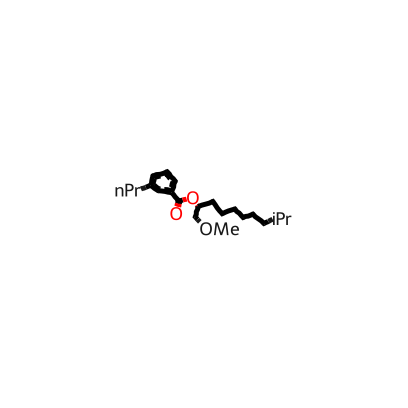 CCCc1cccc(C(=O)OC(CCCCCCC(C)C)COC)c1